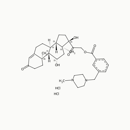 CN1CCN(Cc2cccc(C(=O)OCC(=O)[C@@]3(O)CC[C@H]4[C@@H]5CCC6=CC(=O)CC[C@]6(C)[C@H]5[C@@H](O)C[C@@]43C)c2)CC1.Cl.Cl